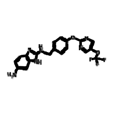 Nc1ccc2nc(NCc3ccc(Oc4ncc(OC(F)(F)F)cn4)cc3)[nH]c2c1